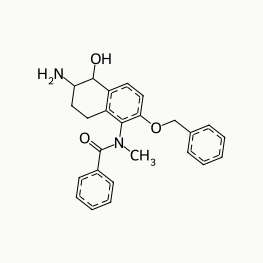 CN(C(=O)c1ccccc1)c1c(OCc2ccccc2)ccc2c1CCC(N)C2O